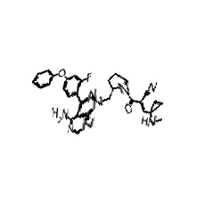 CNC1(C=C(C#N)C(=O)N2CCC[C@@H]2Cn2nc(-c3ccc(Oc4ccccc4)cc3F)c3c(N)ncnc32)CC1